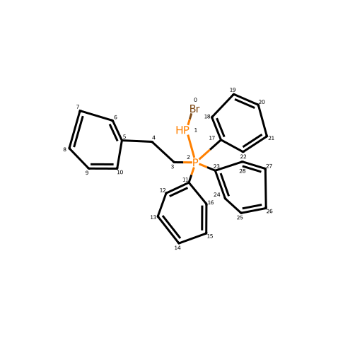 BrPP(CCc1ccccc1)(c1ccccc1)(c1ccccc1)c1ccccc1